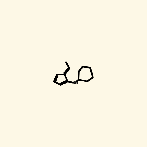 CC=C1C=CC=C1PC1CCCCC1